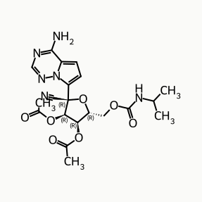 CC(=O)O[C@H]1[C@@H](OC(C)=O)[C@](C#N)(c2ccc3c(N)ncnn23)O[C@@H]1COC(=O)NC(C)C